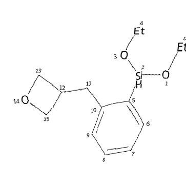 CCO[SiH](OCC)c1ccccc1CC1COC1